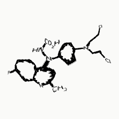 Cc1cc(N(NC(=O)O)c2ccc(N(CCCl)CCCl)cc2)c2ccc(F)cc2n1